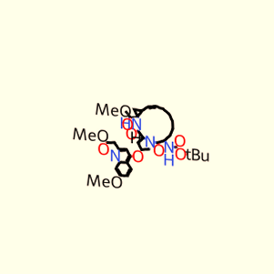 COC(=O)Cc1cc(O[C@@H]2C[C@H]3C(=O)N[C@]4(C(=O)OC)CC4/C=C\CCCCC[C@H](NC(=O)OC(C)(C)C)C(=O)N3C2)c2ccc(OC)cc2n1